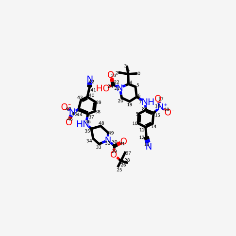 CC(C)(C)C1CC(Nc2ccc(C#N)cc2[N+](=O)[O-])CCN1C(=O)O.CC(C)(C)OC(=O)N1CCC(Nc2ccc(C#N)cc2[N+](=O)[O-])CC1